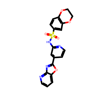 O=S(=O)(Nc1cc(-c2nc3ncccc3o2)ccn1)c1ccc2c(c1)OCCO2